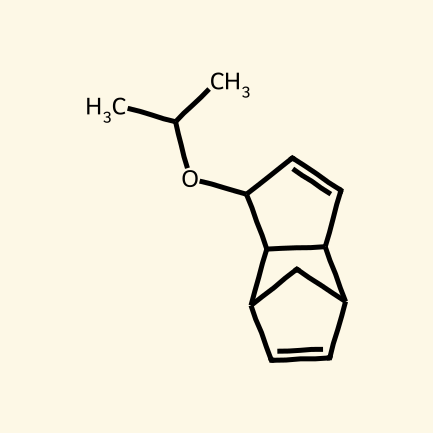 CC(C)OC1C=CC2C3C=CC(C3)C12